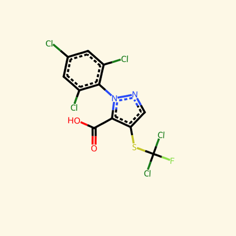 O=C(O)c1c(SC(F)(Cl)Cl)cnn1-c1c(Cl)cc(Cl)cc1Cl